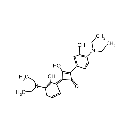 CCN(CC)C1=C(O)C(=C2C(=O)C(c3ccc(N(CC)CC)c(O)c3)=C2O)C=CC1